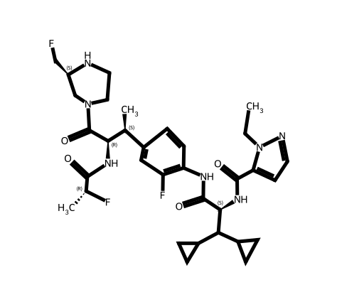 CCn1nccc1C(=O)N[C@H](C(=O)Nc1ccc([C@H](C)[C@@H](NC(=O)[C@@H](C)F)C(=O)N2CCN[C@H](CF)C2)cc1F)C(C1CC1)C1CC1